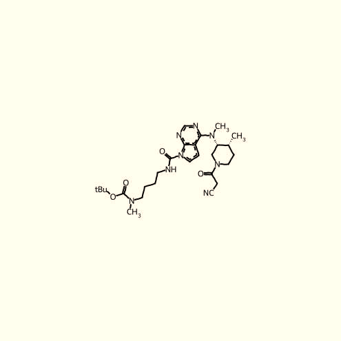 C[C@@H]1CCN(C(=O)CC#N)C[C@@H]1N(C)c1ncnc2c1ccn2C(=O)NCCCCN(C)C(=O)OC(C)(C)C